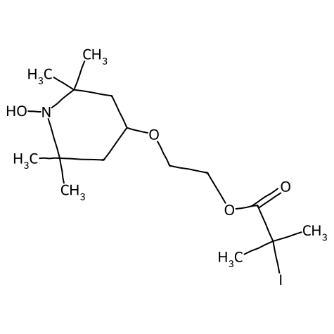 CC(C)(I)C(=O)OCCOC1CC(C)(C)N(O)C(C)(C)C1